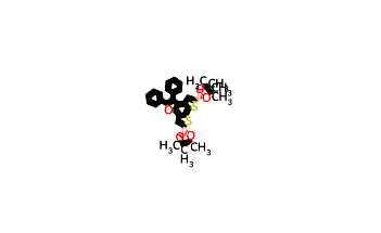 CC1OB(c2cc3c4oc(-c5ccccc5)c(-c5ccccc5)c4c4cc(B5OC(C)(C)C(C)(C)O5)sc4c3s2)OC1(C)C